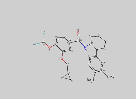 COc1ccc(C2CCCCC2NC(=O)c2ccc(OC(F)F)c(OCC3CC3)c2)cc1OC